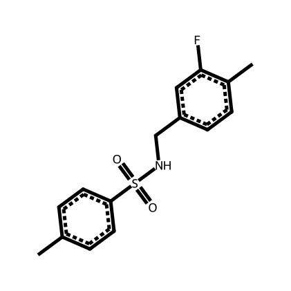 Cc1ccc(S(=O)(=O)NCc2ccc(C)c(F)c2)cc1